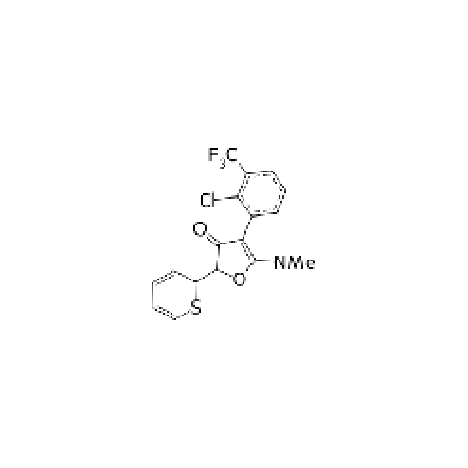 CNC1=C(c2cccc(C(F)(F)F)c2Cl)C(=O)C(C2C=CC=CS2)O1